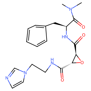 CN(C)C(=O)[C@H](Cc1ccccc1)NC(=O)[C@H]1O[C@@H]1C(=O)NCCn1ccnc1